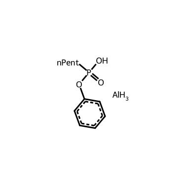 CCCCCP(=O)(O)Oc1ccccc1.[AlH3]